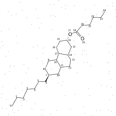 CCCCCCC[C@H]1CCC2C(CCC3C[C@@H](OC(=O)CCCCC)CCC32)C1